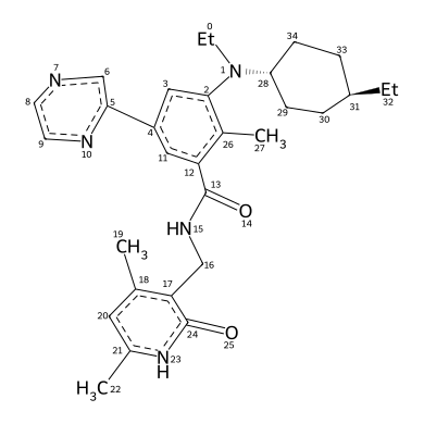 CCN(c1cc(-c2cnccn2)cc(C(=O)NCc2c(C)cc(C)[nH]c2=O)c1C)[C@H]1CC[C@H](CC)CC1